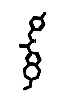 CCN1CCc2ccc(C(=O)NCc3ccc(C)cc3)cc2CC1